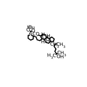 CC(CCCC(C)(C)O)[C@H]1CC[C@H]2[C@@H]3CC=C4C[C@@H]([C@]5(C(=O)O)CCCCN5C(=O)OC(C)(C)C)CC[C@]4(C)[C@H]3CC[C@]12C